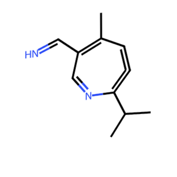 CC1=C(C=N)C=NC(C(C)C)=C=C1